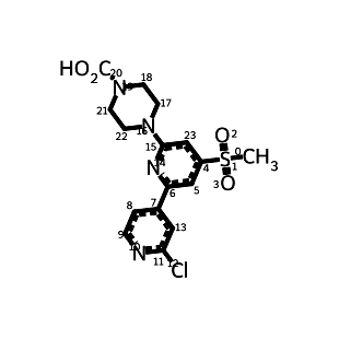 CS(=O)(=O)c1cc(-c2ccnc(Cl)c2)nc(N2CCN(C(=O)O)CC2)c1